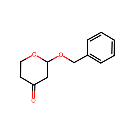 O=C1CCOC(OCc2ccccc2)C1